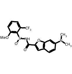 COc1cccc(C(F)(F)F)c1[S+]([O-])NC(=O)c1cc2ccc(N(C)C)cc2o1